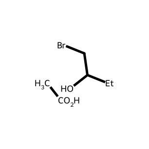 CC(=O)O.CCC(O)CBr